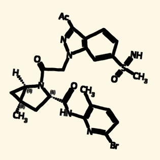 CC(=O)c1nn(CC(=O)N2[C@H](C(=O)Nc3nc(Br)ccc3C)C[C@@]3(C)C[C@@H]23)c2cc(S(C)(=N)=O)ccc12